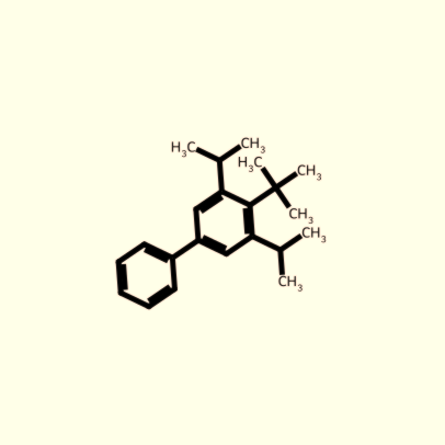 CC(C)c1cc(-c2ccccc2)cc(C(C)C)c1C(C)(C)C